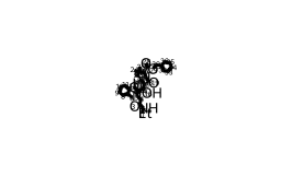 CCNC(=O)CN(Cc1ccccc1)C(=O)[C@@H](O)[C@@H]1C(=O)N2[C@@H]1SC(C)(C)[C@@H]2C(=O)OCc1ccccc1